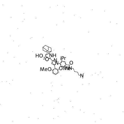 COc1cccc(OC)c1-c1cc(C(=O)NC2(C(=O)O)C3CC4CC(C3)CC2C4)nn1-c1ccc(C(=O)NCCCCN(C)C)cc1C(C)C